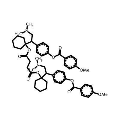 COc1ccc(C(=O)Oc2ccc(C(CN(C)C)C3(OC(=O)CCC(=O)OC4(C(CN(C)C)c5ccc(OC(=O)c6ccc(OC)cc6)cc5)CCCCC4)CCCCC3)cc2)cc1